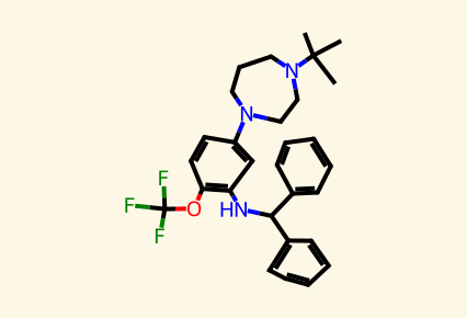 CC(C)(C)N1CCCN(c2ccc(OC(F)(F)F)c(NC(c3ccccc3)c3ccccc3)c2)CC1